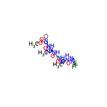 CCOC(=O)c1cc(NC(=O)c2nc(NC(=O)CCNC(=O)c3cc(NC(=O)c4nccn4CC(F)(F)F)cn3C)cn2C)cn1C1CCCCC1